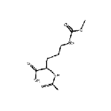 COC(=O)NCCCC(NC(C)=O)C(=O)O